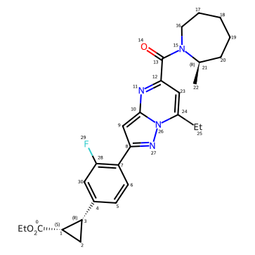 CCOC(=O)[C@H]1C[C@H]1c1ccc(-c2cc3nc(C(=O)N4CCCCC[C@H]4C)cc(CC)n3n2)c(F)c1